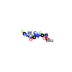 Cn1c2cc(C(=O)NCCCN3CCC(F)CC3)ccc2n2cc(-c3ccc([C@H]4CCCN4C(=O)OC(C)(C)C)cc3F)nc12